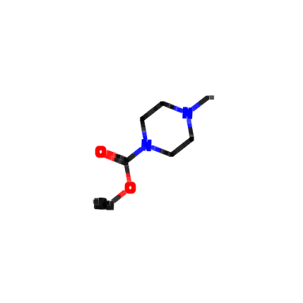 [CH2]N1CCN(C(=O)OC(C)(C)C)CC1